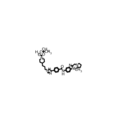 C[C@H]1CCCN1Cc1nc2cc(NC(=O)c3ccc(-c4ncn(CCCC5CCN(C(=O)OC(C)(C)C)CC5)n4)cc3)ccc2[nH]1